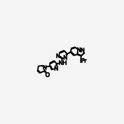 CC(C)c1cnn2ccc(-c3ccnc(Nc4ccc(N5CCC=CC5=O)cn4)n3)cc12